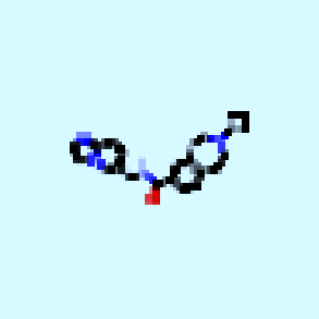 O=C(NCc1ccc2nccn2c1)c1ccc2c(c1)CCN(C1CCC1)CC2